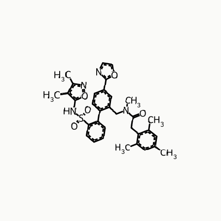 Cc1cc(C)c(CC(=O)N(C)Cc2cc(-c3ncco3)ccc2-c2ccccc2S(=O)(=O)Nc2onc(C)c2C)c(C)c1